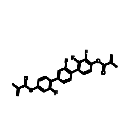 C=C(C)C(=O)Oc1ccc(-c2ccc(-c3ccc(OC(=O)C(=C)C)c(F)c3F)c(F)c2)c(F)c1